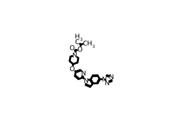 CC(C)OC(=O)N1CCC(Oc2ccc(-n3ccc4cc(-n5cncn5)ccc43)nc2)CC1